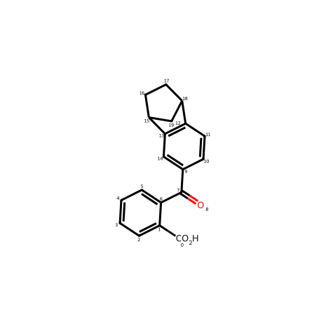 O=C(O)c1ccccc1C(=O)c1ccc2c(c1)C1CCC2C1